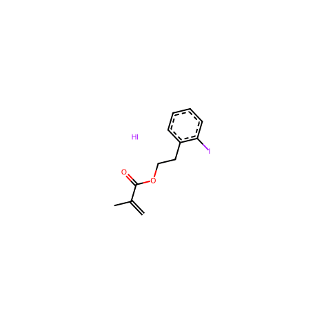 C=C(C)C(=O)OCCc1ccccc1I.I